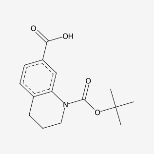 CC(C)(C)OC(=O)N1CCCc2ccc(C(=O)O)cc21